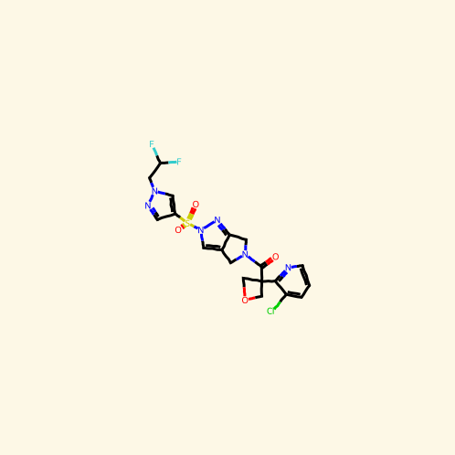 O=C(N1Cc2cn(S(=O)(=O)c3cnn(CC(F)F)c3)nc2C1)C1(c2ncccc2Cl)COC1